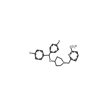 O=C(O)c1cccc(CN2CCC(OC(c3ccc(F)cc3)c3ccc(F)cc3)CC2)n1